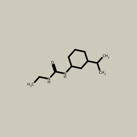 CCNC(=O)NC1CCCC(C(C)C)C1